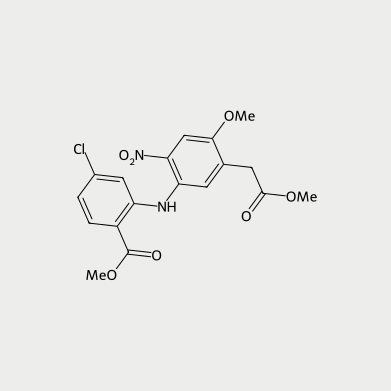 COC(=O)Cc1cc(Nc2cc(Cl)ccc2C(=O)OC)c([N+](=O)[O-])cc1OC